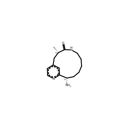 C[C@H]1Cc2ccnc(c2)[C@@H](N)CCCCCNC1=O